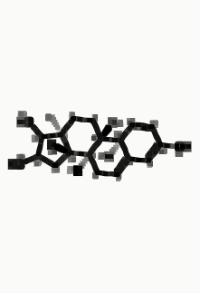 C[C@]12CC[C@H]3[C@@H](CC=C4C=C(O)C=C[C@@H]43)[C@@H]1CC(O)C2O